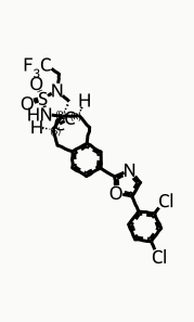 O=S1(=O)N[C@@]2(CN1CC(F)(F)F)[C@@H]1CC[C@H]2Cc2ccc(-c3ncc(-c4ccc(Cl)cc4Cl)o3)cc2C1